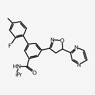 Cc1ccc(-c2cc(C(=O)NC(C)C)cc(C3=NOC(c4cnccn4)C3)c2)c(F)c1